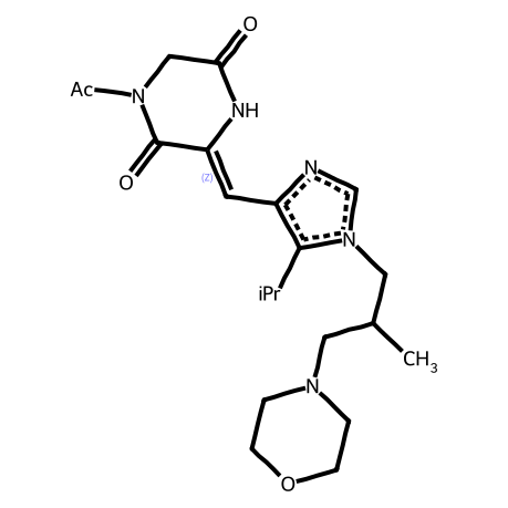 CC(=O)N1CC(=O)N/C(=C\c2ncn(CC(C)CN3CCOCC3)c2C(C)C)C1=O